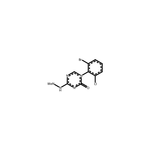 CNNc1ncn(-c2c(Cl)cccc2Br)c(=O)n1